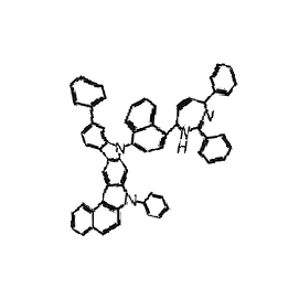 C1#CC(c2ccc(-n3c4cc(-c5ccccc5)ccc4c4cc5c6c7ccccc7ccc6n(-c6ccccc6)c5cc43)c3ccccc23)NC(c2ccccc2)=NC1c1ccccc1